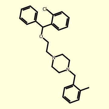 Cc1ccccc1CN1CCN(CCOC(c2ccccc2)c2ccccc2Cl)CC1